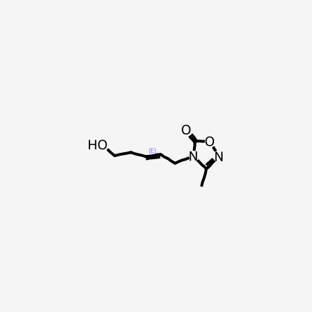 Cc1noc(=O)n1C/C=C/CCO